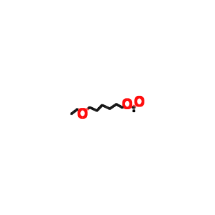 CCOCCCCCCO[C]=O